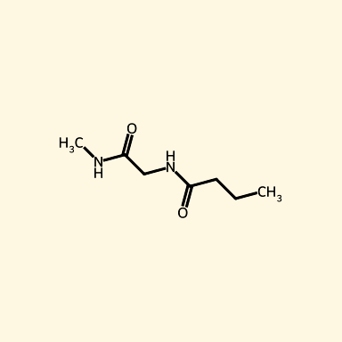 CCCC(=O)NCC(=O)NC